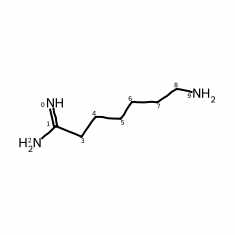 N=C(N)CCCCCCN